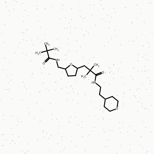 CC(C)(C)C(=O)NCC1CCC(CC(C)(C)C(=O)NCCC2CCOCC2)O1